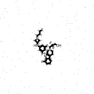 OCC(F)(F)CN1CCc2c([nH]c3c(F)cccc23)[C@@H]1c1c(F)cc(NC2CN(CCCF)C2)cc1F